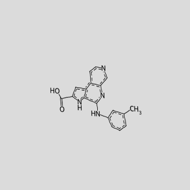 Cc1cccc(Nc2nc3cnccc3c3cc(C(=O)O)[nH]c23)c1